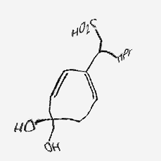 CCCC(C(=O)O)C1=CCC(O)(O)C=C1